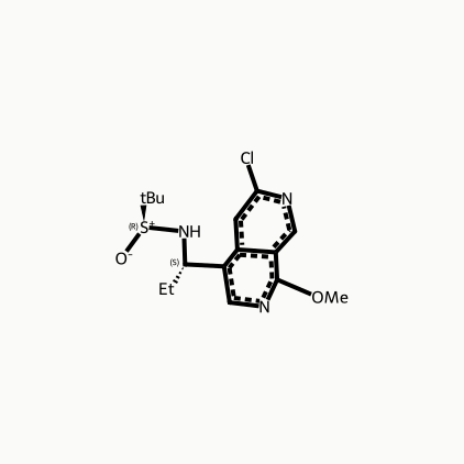 CC[C@H](N[S@@+]([O-])C(C)(C)C)c1cnc(OC)c2cnc(Cl)cc12